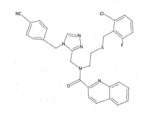 N#Cc1ccc(Cn2cnnc2CN(CCSCc2c(F)cccc2Cl)C(=O)c2ccc3ccccc3n2)cc1